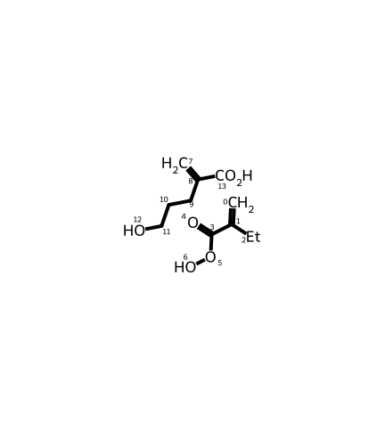 C=C(CC)C(=O)OO.C=C(CCCO)C(=O)O